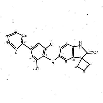 O=C1Nc2ccc(Oc3c(Cl)cc(-c4nccnn4)cc3Cl)cc2C12CCC2